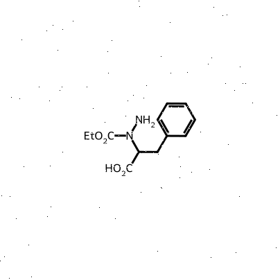 CCOC(=O)N(N)C(Cc1ccccc1)C(=O)O